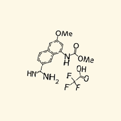 COC(=O)Nc1cc(OC)cc2ccc(C(=N)N)cc12.O=C(O)C(F)(F)F